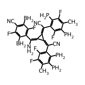 Bc1c(F)c(/C(N)=C2\C(=C(C#N)c3c(F)c(P)c(C)c(F)c3P)\C2=C(/C#N)c2c(F)c(F)c(C)c(P)c2P)c(B)c(F)c1C#N